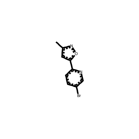 Cc1cc(-c2ccc(Br)cn2)on1